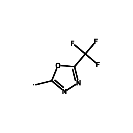 [CH2]c1nnc(C(F)(F)F)o1